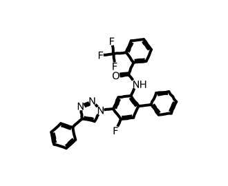 O=C(Nc1cc(-n2cc(-c3ccccc3)nn2)c(F)cc1-c1ccccc1)c1ccccc1C(F)(F)F